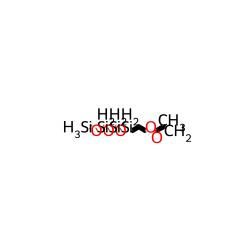 C=C(C)C(=O)OCCC[SiH2]O[SiH2]O[SiH2]O[SiH3]